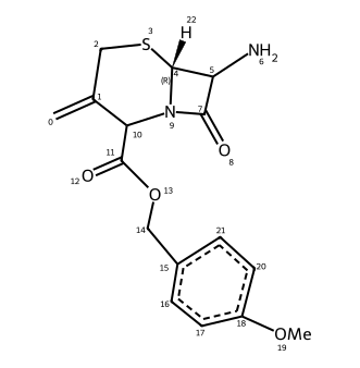 C=C1CS[C@@H]2C(N)C(=O)N2C1C(=O)OCc1ccc(OC)cc1